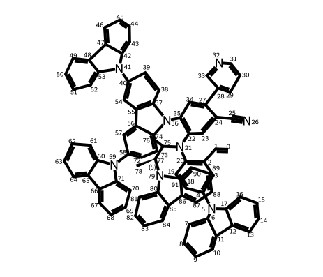 C=Cc1cc(-n2c3ccccc3c3ccccc32)ccc1N(c1cc(C#N)c(-c2cccnc2)cc1-n1c2ccc(-n3c4ccccc4c4ccccc43)cc2c2cc(-n3c4ccccc4c4ccccc43)ccc21)C(C)[C@H](C)n1c2ccccc2c2ccccc21